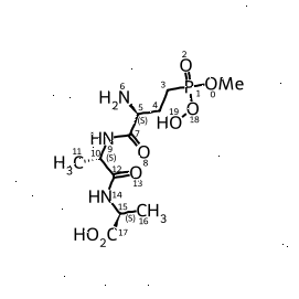 COP(=O)(CC[C@H](N)C(=O)N[C@@H](C)C(=O)N[C@@H](C)C(=O)O)OO